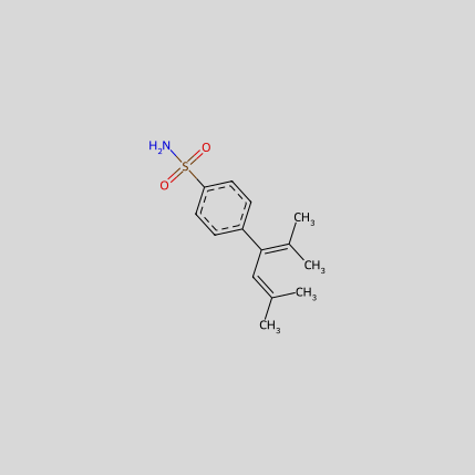 CC(C)=CC(=C(C)C)c1ccc(S(N)(=O)=O)cc1